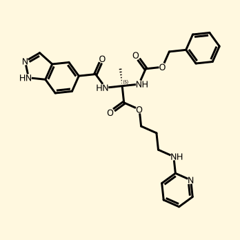 C[C@@](NC(=O)OCc1ccccc1)(NC(=O)c1ccc2[nH]ncc2c1)C(=O)OCCCNc1ccccn1